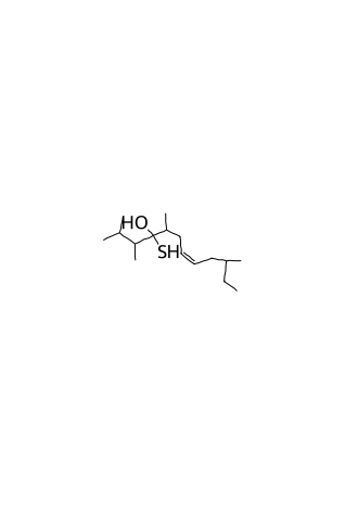 CCC(C)C/C=C\CC(C)C(O)(S)C(C)C(C)C